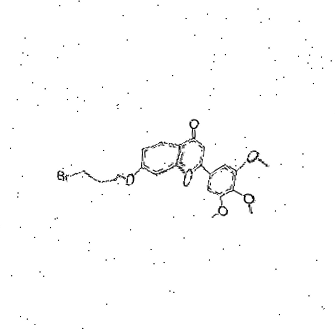 COc1cc(-c2cc(=O)c3ccc(OCCCBr)cc3o2)cc(OC)c1OC